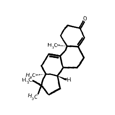 CC1(C)CC[C@H]2C3CCC4=CC(=O)CC[C@]4(C)C3=CC[C@@]21C